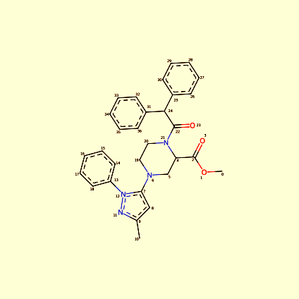 COC(=O)C1CN(c2cc(C)nn2-c2ccccc2)CCN1C(=O)C(c1ccccc1)c1ccccc1